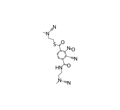 CN(C#N)CCNC(=O)c1ccc(C(=O)SCCN(C)C#N)c(N=O)c1C#N